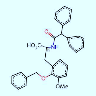 COc1cccc(C[C@@H](NC(=O)C(c2ccccc2)c2ccccc2)C(=O)O)c1OCc1ccccc1